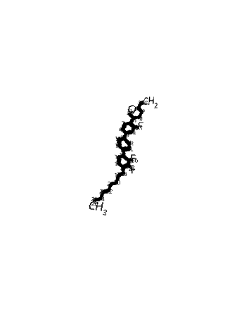 C=CC1CCC(c2ccc(-c3ccc(-c4ccc(CCCCCCCCC)c(F)c4F)cc3)cc2F)CO1